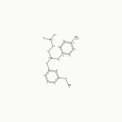 CC(C)Cc1cccc(CN(CCN(C)C)Cc2ccc(C(F)(F)F)cc2)c1